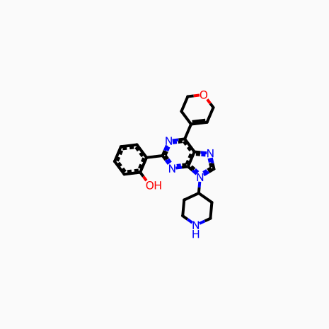 Oc1ccccc1-c1nc(C2=CCOCC2)c2ncn(C3CCNCC3)c2n1